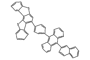 c1ccc2cc(-c3c4ccccc4c(-c4ccc(-c5cc6sc7ccccc7c6c6sc7ccccc7c56)cc4)c4ccccc34)ccc2c1